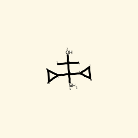 CC(C)(O)C([SiH3])(C1CC1)C1CC1